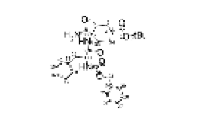 CC(C)(C)OC(=O)N1CCC(NC(=O)C(Cc2ccccc2)NC(=O)OCc2ccccc2)(C(N)=O)CC1